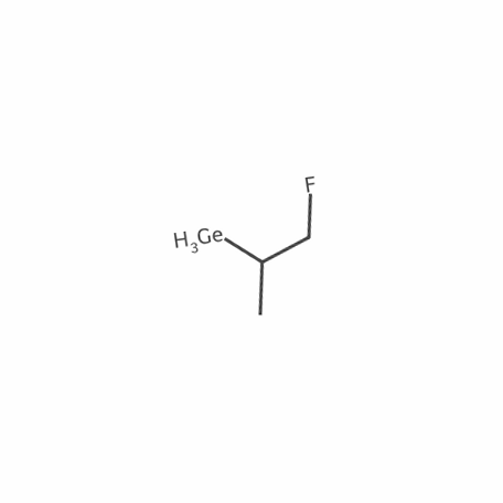 C[CH]([GeH3])CF